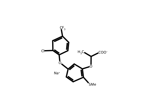 CSc1ccc(Oc2ccc(C(F)(F)F)cc2Cl)cc1OC(C)C(=O)[O-].[Na+]